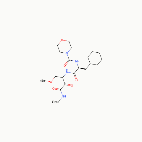 CCCCOCC(NC(=O)[C@H](CC1CCCCC1)NC(=O)N1CCOCC1)C(=O)C(=O)NC(C)CCC